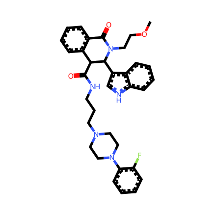 COCCN1C(=O)c2ccccc2C(C(=O)NCCCN2CCN(c3ccccc3F)CC2)C1c1c[nH]c2ccccc12